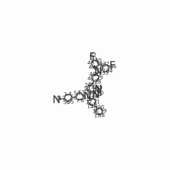 N#Cc1ccc(-c2ccc(N(c3ccc(-c4ccccc4)cc3)c3ccc(-c4ccc(-n5c6ccc(F)cc6c6cc(F)ccc65)cc4)c4nsnc34)cc2)cc1